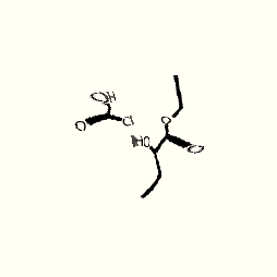 CCOC(=O)C(O)CC.O=C(O)Cl